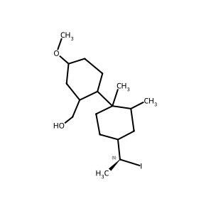 COC1CCC(C2(C)CCC([C@H](C)I)CC2C)C(CO)C1